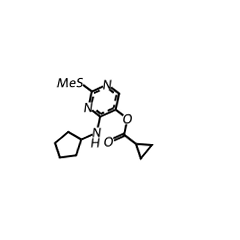 CSc1ncc(OC(=O)C2CC2)c(NC2CCCC2)n1